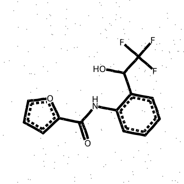 O=C(Nc1ccccc1C(O)C(F)(F)F)c1ccco1